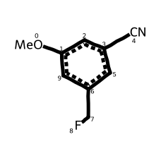 COc1cc(C#N)cc(CF)c1